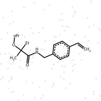 C=Cc1ccc(CNC(=O)C(C)(CC)OCCC)cc1